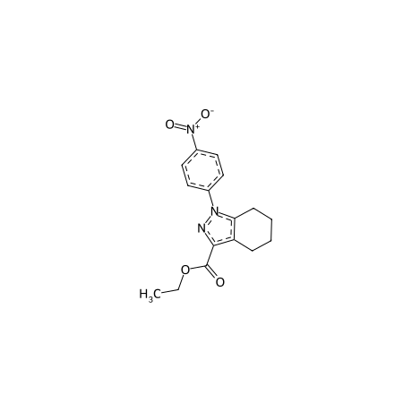 CCOC(=O)c1nn(-c2ccc([N+](=O)[O-])cc2)c2c1CCCC2